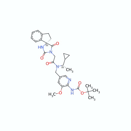 COc1cc(CN(C(=O)CN2C(=O)N[C@]3(CCc4ccccc43)C2=O)[C@@H](C)C2CC2)cnc1NC(=O)OC(C)(C)C